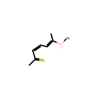 CC(=S)/C=C\C=C(/C)BC(C)C